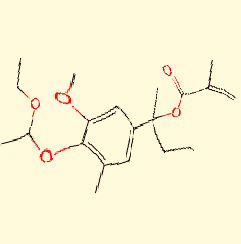 C=C(C)C(=O)OC(C)(CC)c1cc(C)c(OC(C)OCC)c(OC)c1